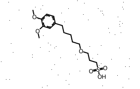 COc1ccc(CCCCCOCCCS(=O)(=O)O)cc1OC